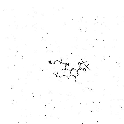 CC(C)(C)CC(C)(C)NC(=O)c1cc(B2OC(C)(C)C(C)(C)O2)cc(F)c1OCC[Si](C)(C)C